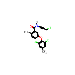 CCN(C#CCCl)C(=O)c1cc(Oc2c(Cl)cc(C(F)(F)F)cc2Cl)ccc1[N+](=O)[O-]